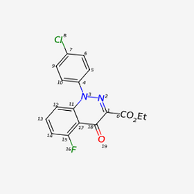 CCOC(=O)c1nn(-c2ccc(Cl)cc2)c2cccc(F)c2c1=O